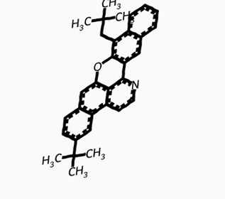 CC(C)(C)Cc1c2c(cc3ccccc13)-c1nccc3c1c(cc1ccc(C(C)(C)C)cc13)O2